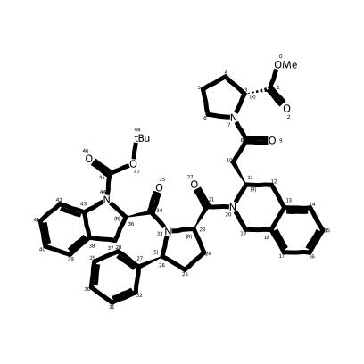 COC(=O)[C@H]1CCCN1C(=O)C[C@H]1Cc2ccccc2CN1C(=O)[C@H]1CC[C@@H](c2ccccc2)N1C(=O)[C@H]1Cc2ccccc2N1C(=O)OC(C)(C)C